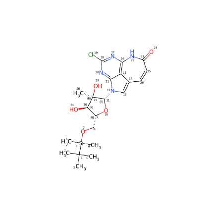 CC(C)(C)[Si](C)(C)OC[C@H]1O[C@@H](n2cc3c4c(nc(Cl)nc42)NC(=O)C=C3)[C@](C)(O)[C@@H]1O